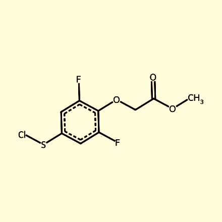 COC(=O)COc1c(F)cc(SCl)cc1F